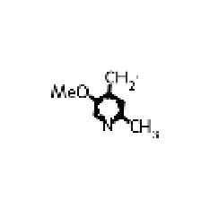 [CH2]c1cc(C)ncc1OC